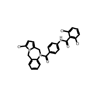 O=C(Nc1ccc(C(=O)N2Cc3ccc(Cl)n3Cc3ccccc32)cc1)c1c(Cl)cccc1Cl